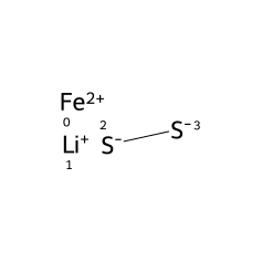 [Fe+2].[Li+].[S-][S-]